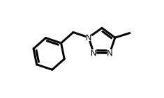 Cc1cn(CC2=CC=CCC2)nn1